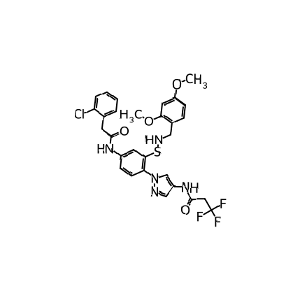 COc1ccc(CNSc2cc(NC(=O)Cc3ccccc3Cl)ccc2-n2cc(NC(=O)CC(F)(F)F)cn2)c(OC)c1